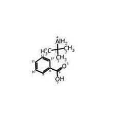 C[C](C)(C)[AlH2].O=C(O)c1ccccc1